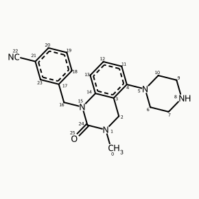 CN1Cc2c(N3CCNCC3)cccc2N(Cc2cccc(C#N)c2)C1=O